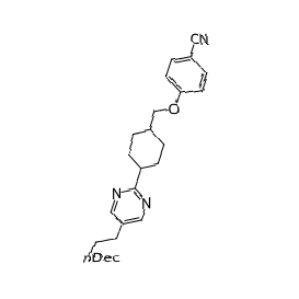 CCCCCCCCCCCCc1cnc(C2CCC(COc3ccc(C#N)cc3)CC2)nc1